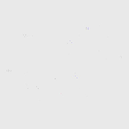 COCCCn1cc(CN(C(=O)[C@H]2CN(C(=O)OC(C)(C)C)CCO2)C2CC2)c2c(CC(C)C)ccnc21